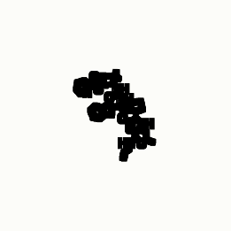 C=CCNC(=O)C(=O)C(CCC)NC(=O)[C@@H]1CCCN1C(=O)[C@@H](NC(=O)N[C@H](CN(C)S(=O)(=O)c1ccccn1)C(C)(C)C)C1Cc2ccccc2C1